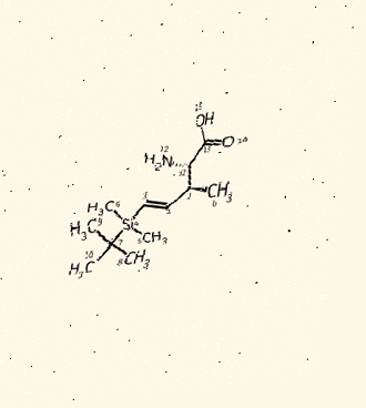 C[C@@H](/C=C/[Si](C)(C)C(C)(C)C)[C@H](N)C(=O)O